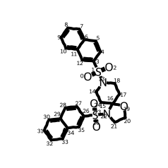 O=S(=O)(c1ccc2ccccc2c1)N1CCC2(CC1)OCCN2S(=O)(=O)c1ccc2ccccc2c1